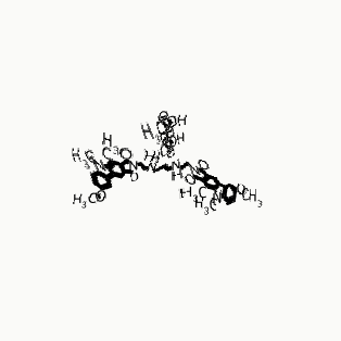 COc1ccc2c(c1)c1cc3c(c(C)c1n2C)C(=O)N(CCNCCCNCCN1C(=O)c2cc4c5cc(OC)ccc5n(C)c4c(C)c2C1=O)C3=O.CS(=O)(=O)O.CS(=O)(=O)O